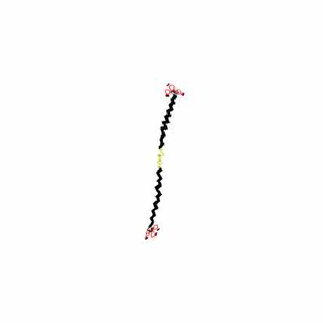 CO[Si](CCCCCCCCCCCCCCCCSSSSCCCCCCCCCCCCCCCC[Si](OC)(OC)OC)(OC)OC